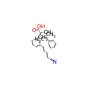 C=C(C)C(=O)O.C=C(C)c1ccccc1.N#CC=CC=Cc1ccccc1